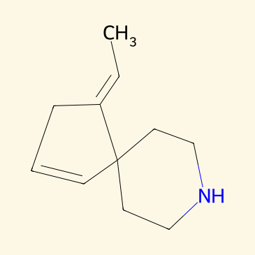 CC=C1CC=CC12CCNCC2